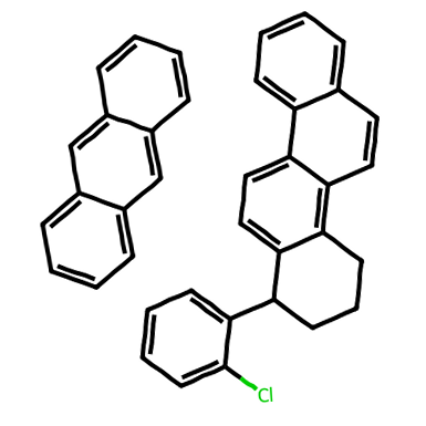 Clc1ccccc1C1CCCc2c1ccc1c2ccc2ccccc21.c1ccc2cc3ccccc3cc2c1